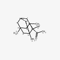 CC(=O)C1(Br)C2(C)CC3CC(C)(C2)CC1(N)C3